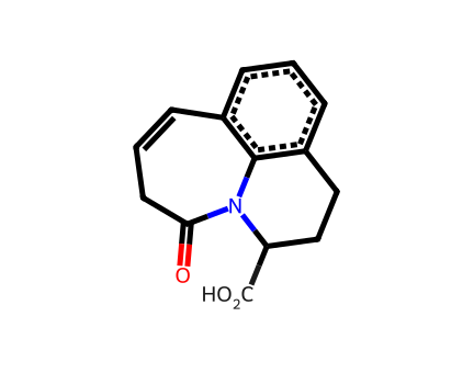 O=C(O)C1CCc2cccc3c2N1C(=O)CC=C3